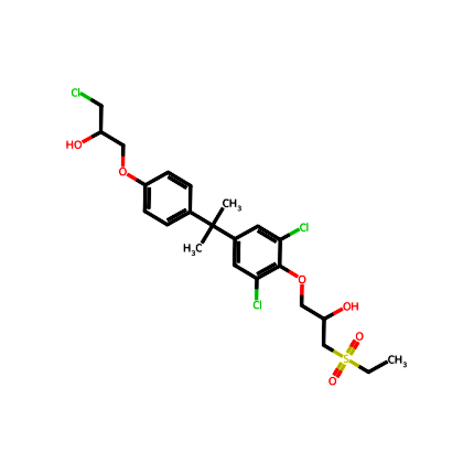 CCS(=O)(=O)CC(O)COc1c(Cl)cc(C(C)(C)c2ccc(OCC(O)CCl)cc2)cc1Cl